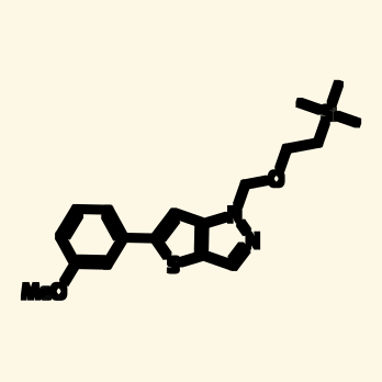 COc1cccc(-c2cc3c(cnn3COCC[Si](C)(C)C)s2)c1